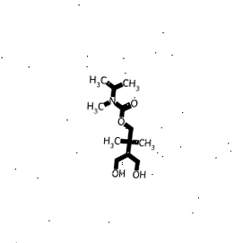 CC(C)N(C)C(=O)OCC(C)(C)C(CO)CO